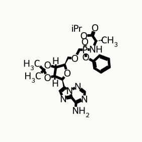 CC(C)OC(=O)[C@H](C)NP(=O)(COC[C@H]1O[C@@H](c2cnc3c(N)ncnn23)[C@@H]2OC(C)(C)O[C@@H]21)Oc1ccccc1